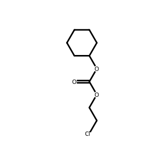 O=C(OCCCl)OC1CCCCC1